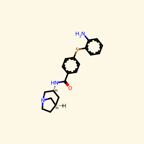 Nc1ccccc1Sc1ccc(C(=O)N[C@@H]2C[C@H]3CCN(C3)C2)cc1